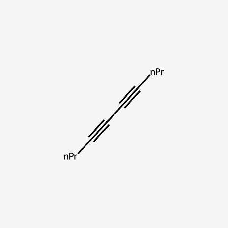 CCCC#CC#CCCC